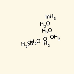 O.O.O.O.O.[InH3].[SbH3]